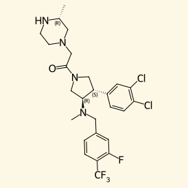 C[C@@H]1CN(CC(=O)N2C[C@H](c3ccc(Cl)c(Cl)c3)[C@@H](N(C)Cc3ccc(C(F)(F)F)c(F)c3)C2)CCN1